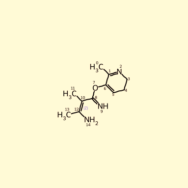 CC1=NCCC=C1OC(=N)/C(C)=C(/C)N